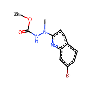 CN(NC(=O)OC(C)(C)C)c1ccc2ccc(Br)cc2n1